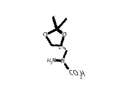 CC1(C)OC[C@@H](CN(N)C(=O)O)O1